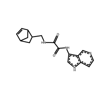 O=C(NCC1CC2C=CC1C2)C(=O)Nc1c[nH]c2ccncc12